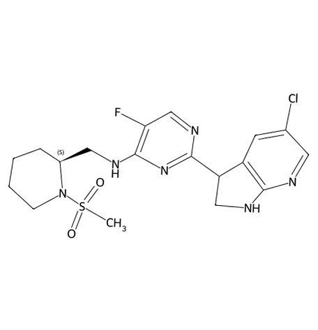 CS(=O)(=O)N1CCCC[C@H]1CNc1nc(C2CNc3ncc(Cl)cc32)ncc1F